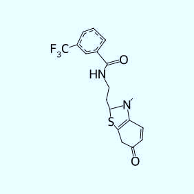 CN1C2=C(CC(=O)C=C2)SC1CCNC(=O)c1cccc(C(F)(F)F)c1